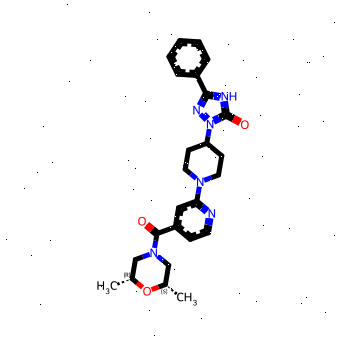 C[C@@H]1CN(C(=O)c2ccnc(N3CCC(n4nc(-c5ccccc5)[nH]c4=O)CC3)c2)C[C@H](C)O1